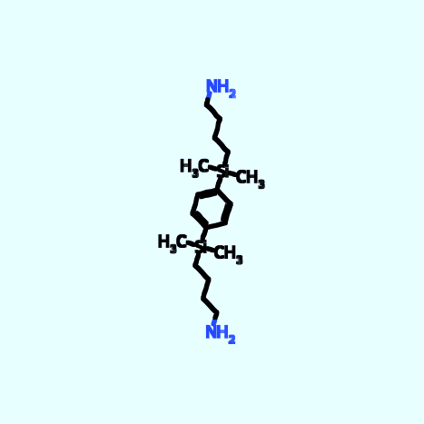 C[Si](C)(CCCCN)c1ccc([Si](C)(C)CCCCN)cc1